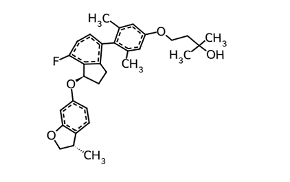 Cc1cc(OCCC(C)(C)O)cc(C)c1-c1ccc(F)c2c1CC[C@H]2Oc1ccc2c(c1)OC[C@H]2C